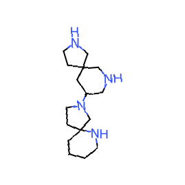 C1CCC2(CCN(C3CNCC4(CCNC4)C3)C2)NC1